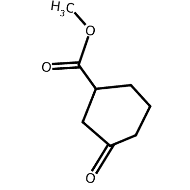 COC(=O)C1CCCC(=O)C1